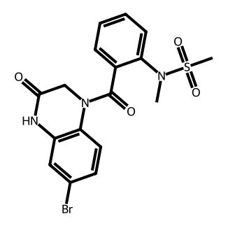 CN(c1ccccc1C(=O)N1CC(=O)Nc2cc(Br)ccc21)S(C)(=O)=O